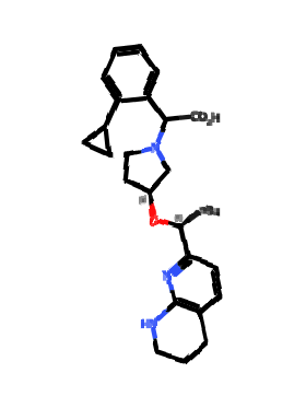 CCCC[C@H](O[C@H]1CCN(C(C(=O)O)c2ccccc2C2CC2)C1)c1ccc2c(n1)NCCC2